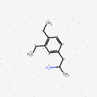 CCc1ccc(C[C](C)N)cc1CC